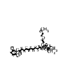 COCCOCCOP(=O)(OCCCCCCCCCC(=O)ON1C(=O)CCC1=O)OC(C)(C)C